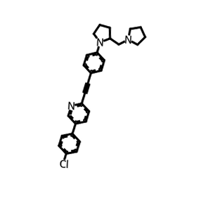 Clc1ccc(-c2ccc(C#Cc3ccc(N4CCCC4CN4CCCC4)cc3)nc2)cc1